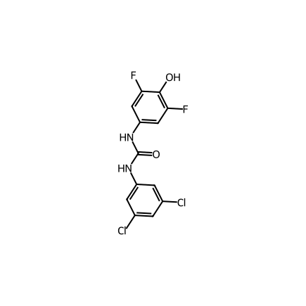 O=C(Nc1cc(Cl)cc(Cl)c1)Nc1cc(F)c(O)c(F)c1